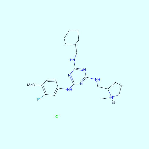 CC[N+]1(C)CCCC1CNc1nc(NCC2CCCCC2)nc(Nc2ccc(OC)c(F)c2)n1.[Cl-]